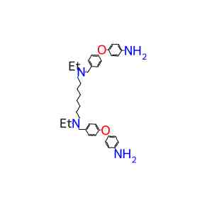 CCN(CCCCCCCCN(CC)Cc1ccc(Oc2ccc(N)cc2)cc1)Cc1ccc(Oc2ccc(N)cc2)cc1